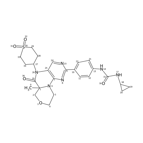 CC12COCCN1c1nc(-c3ccc(NC(=O)NC4CC4)cc3)ncc1N(C1CCS(=O)(=O)CC1)C2=O